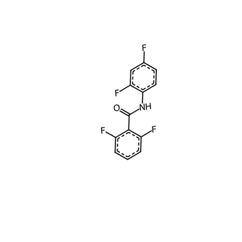 O=C(Nc1ccc(F)cc1F)c1c(F)cccc1F